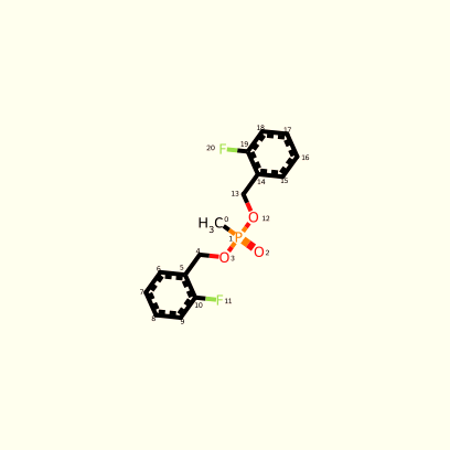 CP(=O)(OCc1ccccc1F)OCc1ccccc1F